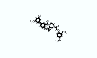 Cc1cc(OC(F)(F)F)ccc1OCC(=O)N1CCN2C(=O)c3cc(-c4cc(Cl)cc(C(F)(F)F)c4)ccc3NC(=O)[C@@H]2C1